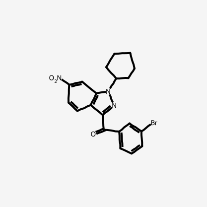 O=C(c1cccc(Br)c1)c1nn(C2CCCCC2)c2cc([N+](=O)[O-])ccc12